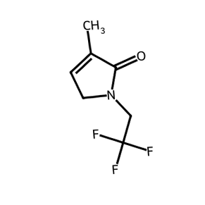 CC1=CCN(CC(F)(F)F)C1=O